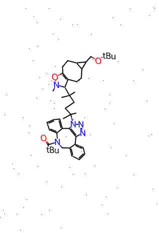 CN1OC2=C(CCC3C(CC2)C3COC(C)(C)C)C1C(C)(C)CCC(C)(C)n1nnc2c1-c1ccccc1N(C(=O)C(C)(C)C)Cc1ccccc1-2